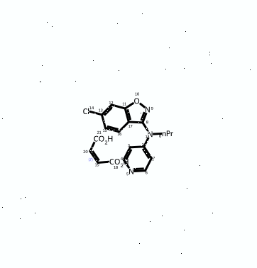 CCCN(c1ccncc1)c1noc2cc(Cl)ccc12.O=C(O)/C=C\C(=O)O